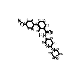 CC1=C(C2CCC(OF)CC2)CCCC1C(=O)NC1C=NC(N2CCOCC2)CC1